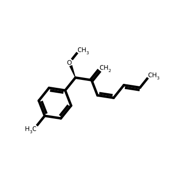 C=C(/C=C\C=C\C)[C@H](OC)c1ccc(C)cc1